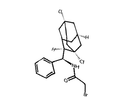 O=C(CBr)N[C@@H](c1ccccc1)[C@H]1C2C[C@H]3C[C@](Cl)(C2)C[C@@]1(Cl)C3